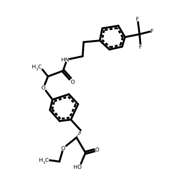 CCO[C@H](Cc1ccc(OC(C)C(=O)NCCc2ccc(C(F)(F)F)cc2)cc1)C(=O)O